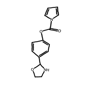 O=C(Oc1ccc(C2NCCO2)cc1)n1cccc1